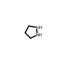 C1C[NH][InH][CH2]1